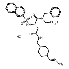 Cl.NN=CN1CCC(CNC(=O)C[C@H](NS(=O)(=O)c2ccc3ccccc3c2)C(=O)N(CC(=O)O)Cc2ccccc2)CC1